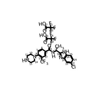 C[C@H](NC(=O)c1ccc(N2CCNCC2)c(C(F)(F)F)c1)c1nc2cc(Cl)ccc2[nH]1.O=C(O)C(F)(F)F.O=C(O)C(F)(F)F